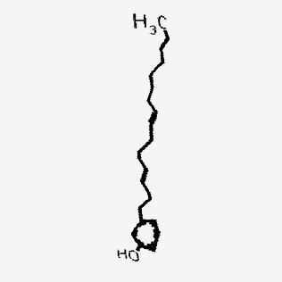 CCCCCCCC=CCCCCCCc1cccc(O)c1